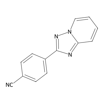 N#Cc1ccc(-c2nc3ccccn3n2)cc1